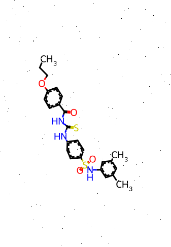 CCCOc1ccc(C(=O)NC(=S)Nc2ccc(S(=O)(=O)Nc3cc(C)cc(C)c3)cc2)cc1